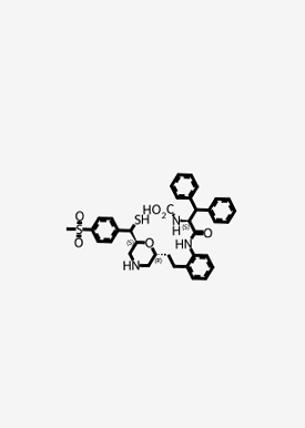 CS(=O)(=O)c1ccc(C(S)[C@@H]2CNC[C@@H](CCc3ccccc3NC(=O)[C@@H](NC(=O)O)C(c3ccccc3)c3ccccc3)O2)cc1